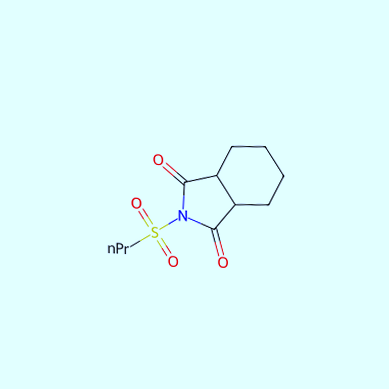 CCCS(=O)(=O)N1C(=O)C2CCCCC2C1=O